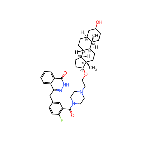 C[C@]12CCC(O)C[C@@H]1CC[C@@H]1[C@@H]2CC[C@]2(C)[C@@H](OCCN3CCN(C(=O)c4cc(Cc5n[nH]c(=O)c6ccccc56)ccc4F)CC3)CC[C@@H]12